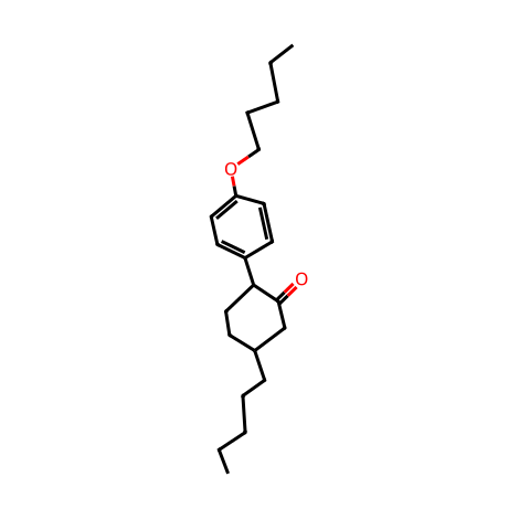 CCCCCOc1ccc(C2CCC(CCCCC)CC2=O)cc1